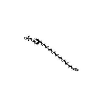 CS(C)(Cl)CSc1ncc(COCCOCCOCCOCCOCCOCCN=[N+]=[N-])cn1